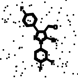 O=Cc1c(-c2ccc(F)cc2)nn(-c2ccc(F)c(F)c2)c1Br